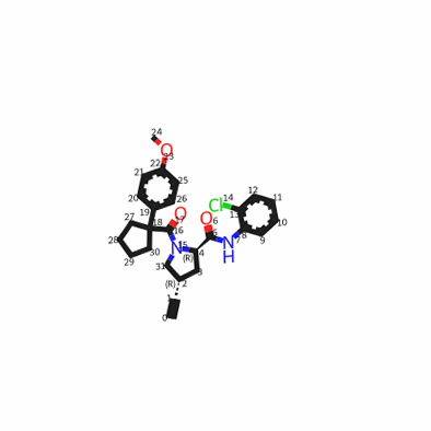 C#C[C@H]1C[C@H](C(=O)Nc2ccccc2Cl)N(C(=O)C2(c3ccc(OC)cc3)CCCC2)C1